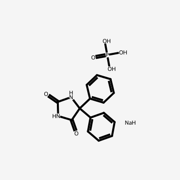 O=C1NC(=O)C(c2ccccc2)(c2ccccc2)N1.O=P(O)(O)O.[NaH]